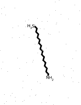 NCCCCCCCCCCCCCCCCC[SiH3]